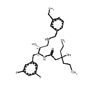 CCCC(O)(CCC)CC(=O)N[C@@H](Cc1cc(F)cc(F)c1)[C@H](O)CNCc1cccc(CC)c1